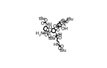 CN(C(=O)OC(C)(C)C)[C@@H]1C(O)[C@@H](OC2C(O)C(O[C@H]3O[C@H](CN)CCC3NC(=O)OC(C)(C)C)[C@@H](NC(=O)OC(C)(C)C)C[C@H]2NC(=O)[C@@H](O)CCNC(=O)OC(C)(C)C)OCC1(C)O